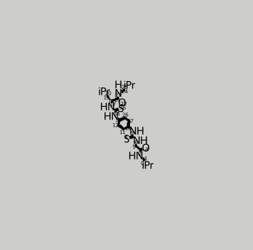 CC(C)CNC(=O)CNC(=S)Nc1ccc(NC(=S)N[C@@H](CC(C)C)C(=O)NCC(C)C)cc1